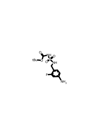 CC(C)(C)OC(=O)NS(=O)(=O)NCc1ccc(N)cc1F